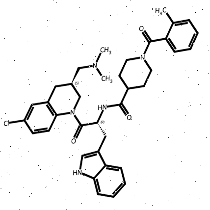 Cc1ccccc1C(=O)N1CCC(C(=O)N[C@H](Cc2c[nH]c3ccccc23)C(=O)N2C[C@H](CN(C)C)Cc3cc(Cl)ccc32)CC1